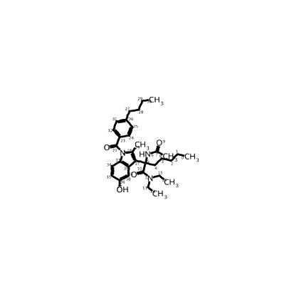 CCCCCC(NC(C)=O)(C(=O)N(CC)CC)c1c(C)n(C(=O)c2ccc(CCCC)cc2)c2ccc(O)cc12